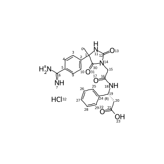 CC1(c2ccc(C(=N)N)cc2)NC(=O)N(CC(=O)N[C@H](CC(=O)O)c2ccccc2)C1=O.Cl